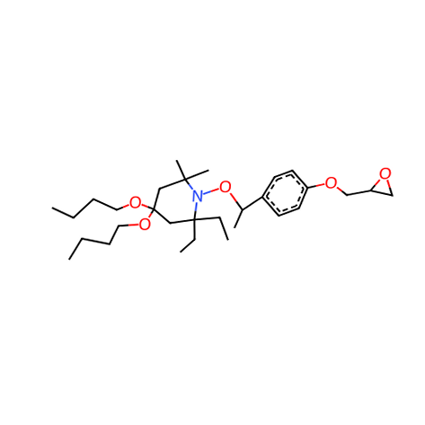 CCCCOC1(OCCCC)CC(C)(C)N(OC(C)c2ccc(OCC3CO3)cc2)C(CC)(CC)C1